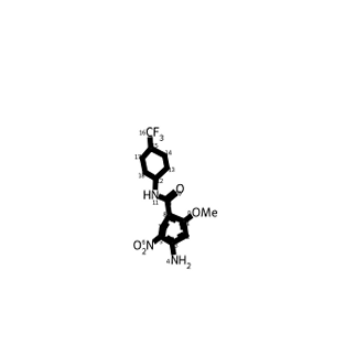 COc1cc(N)c([N+](=O)[O-])cc1C(=O)NC1CCC(C(F)(F)F)CC1